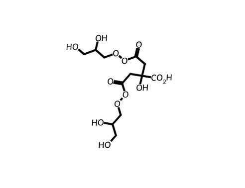 O=C(CC(O)(CC(=O)OOCC(O)CO)C(=O)O)OOCC(O)CO